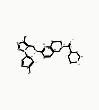 Cc1nnn(-c2ccc(F)cc2)c1COc1ccc2c(n1)CCN(C(=O)C1CCOCC1)C2